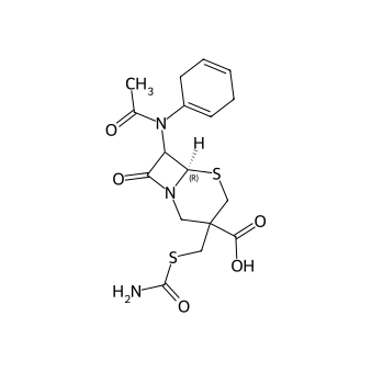 CC(=O)N(C1=CCC=CC1)C1C(=O)N2CC(CSC(N)=O)(C(=O)O)CS[C@H]12